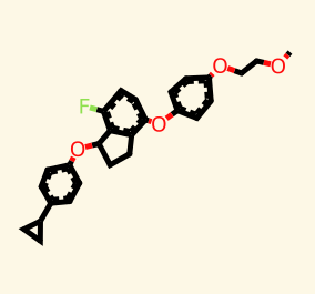 COCCOc1ccc(Oc2ccc(F)c3c2CCC3Oc2ccc(C3CC3)cc2)cc1